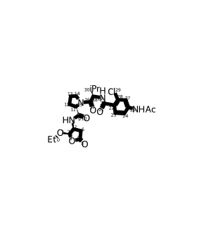 CCO[C@@H]1OC(=O)C[C@@H]1NC(=O)[C@@H]1CCCN1C(=O)[C@@H](NC(=O)c1ccc(NC(C)=O)cc1Cl)C(C)C